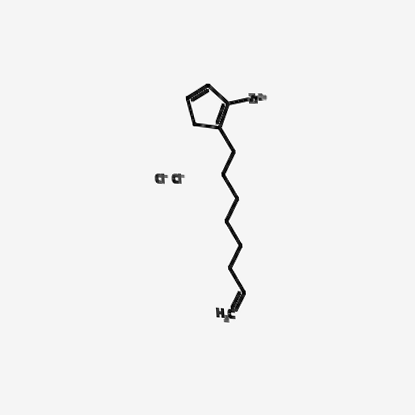 C=CCCCCCCC1=[C]([Zr+2])C=CC1.[Cl-].[Cl-]